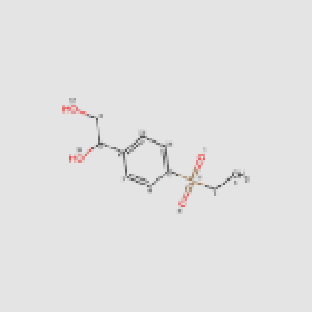 CCS(=O)(=O)c1ccc(C(O)CO)cc1